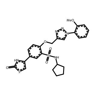 COc1ccccc1-n1cc(COc2ccc(-c3csc(=O)[nH]3)cc2S(=O)(=O)NC2CCCC2)nn1